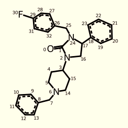 O=C1N(C2CCN(Cc3ccccc3)CC2)CC(c2ccccc2)N1Cc1ccc(F)cc1